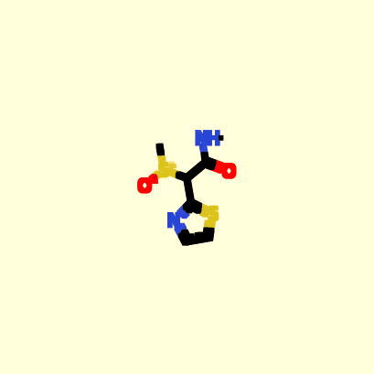 C[S+]([O-])C(C([NH])=O)c1nccs1